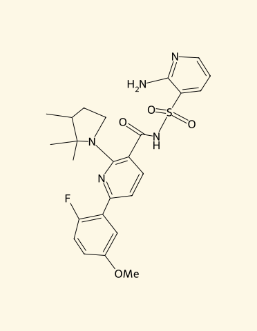 COc1ccc(F)c(-c2ccc(C(=O)NS(=O)(=O)c3cccnc3N)c(N3CCC(C)C3(C)C)n2)c1